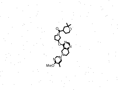 COC1=NCN(N2CCc3ncnc(OC4CCN(C(=O)C5CCOC(C)(C)C5)C4)c3C2)C=C1C